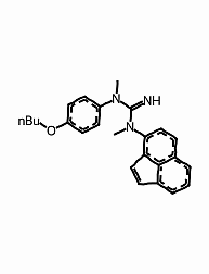 CCCCOc1ccc(N(C)C(=N)N(C)c2ccc3cccc4c3c2C=C4)cc1